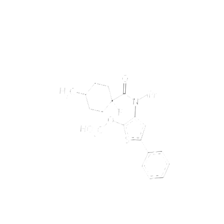 CC1CCC(F)(C(=O)N(c2cc(-c3ccccc3)sc2OC(=O)O)C(C)C)CC1